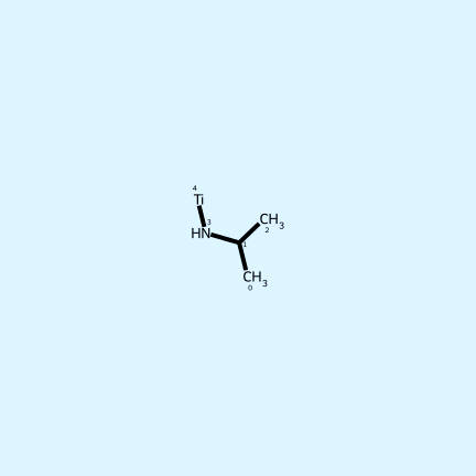 CC(C)[NH][Ti]